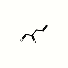 C=CCC(=O)C=O